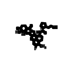 CC[C@@]1(O)C(=O)CCc2c1cc1n(c2=O)Cc2c-1nc1cc(F)c(C)c3c1c2[C@@H](NC(=O)[C@@H]1CCCN1CCO)CC3